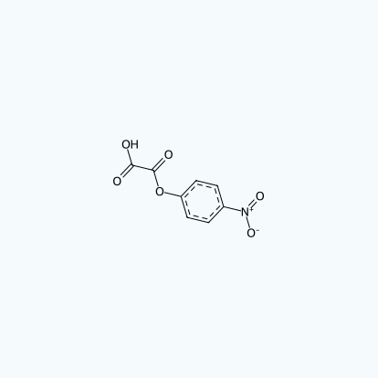 O=C(O)C(=O)Oc1ccc([N+](=O)[O-])cc1